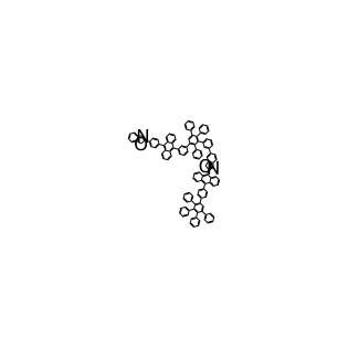 c1ccc(-c2cc(-c3ccc(-c4c5ccccc5c(-c5nc6ccc(-c7cccc(-c8c(-c9ccccc9)c(-c9ccccc9)cc(-c9cccc(-c%10c%11ccccc%11c(-c%11ccc(-c%12nc%13ccccc%13o%12)cc%11)c%11ccccc%10%11)c9)c8-c8ccccc8)c7)cc6o5)c5ccccc45)cc3)c(-c3ccccc3)c(-c3ccccc3)c2-c2ccccc2)cc1